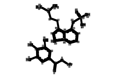 CCCOC(=O)c1cc(O)c(O)c(O)c1.CN(C)CCc1c[nH]c2cccc(OP(=O)(O)O)c12